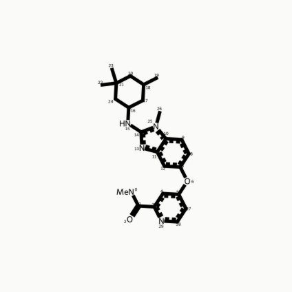 CNC(=O)c1cc(Oc2ccc3c(c2)nc(NC2CC(C)CC(C)(C)C2)n3C)ccn1